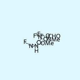 CNc1ccc2c(c1OC=O)C[C@@H](C)N(CC(C)(F)F)C2c1ccc(NC2CN(CCCF)C2)cc1OC